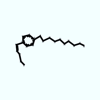 CCC/C=[C]\c1ccc(CCCCCCCCCC)cc1